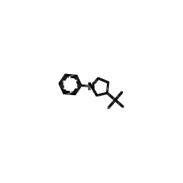 CC(C)(C)C1CCN(c2ccccc2)C1